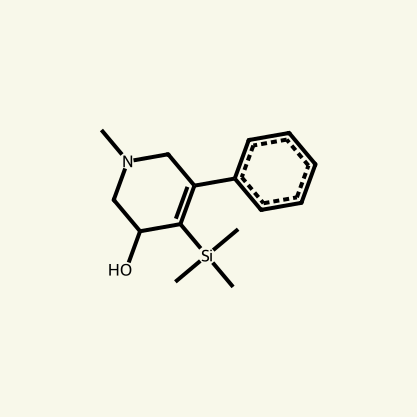 CN1CC(c2ccccc2)=C([Si](C)(C)C)C(O)C1